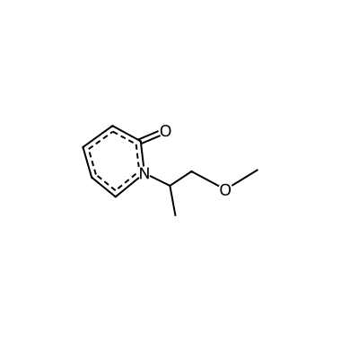 COCC(C)n1ccccc1=O